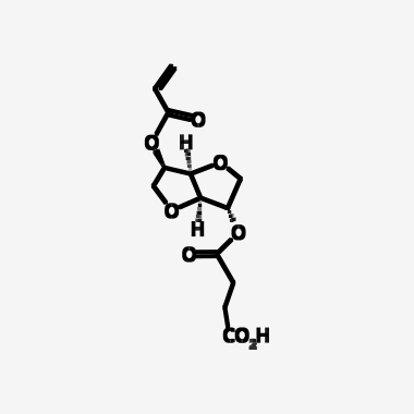 C=CC(=O)O[C@@H]1CO[C@H]2[C@@H]1OC[C@@H]2OC(=O)CCC(=O)O